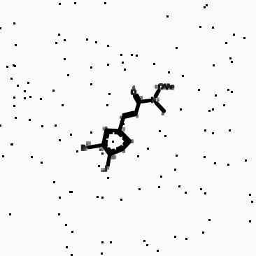 CON(C)C(=O)/C=C/c1ccc(F)c(Br)c1